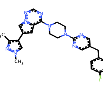 Cc1nn(C)cc1-c1cc2c(N3CCN(c4ncc(Cc5ccc(F)cc5)cn4)CC3)ncnn2c1